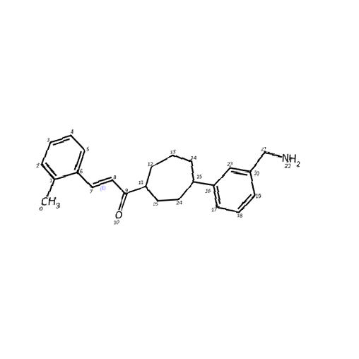 Cc1ccccc1/C=C/C(=O)C1CCCC(c2cccc(CN)c2)CC1